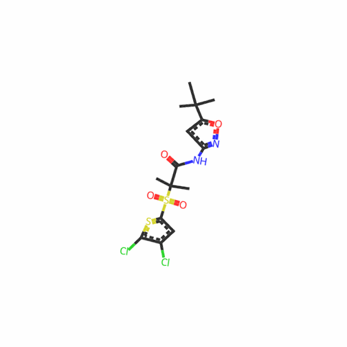 CC(C)(C)c1cc(NC(=O)C(C)(C)S(=O)(=O)c2cc(Cl)c(Cl)s2)no1